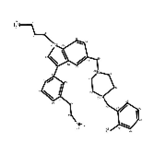 NCCCn1cc(-c2cccc(CCN)c2)c2cc(CN3CCN(Cc4ccccc4Cl)CC3)ccc21